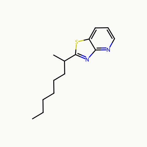 CCCCCCC(C)c1nc2ncccc2s1